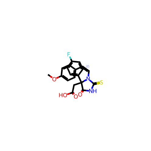 COc1ccc(/C=C\N2C(=S)NC(=O)C2(CC(=O)O)c2ccc(F)cc2)cc1